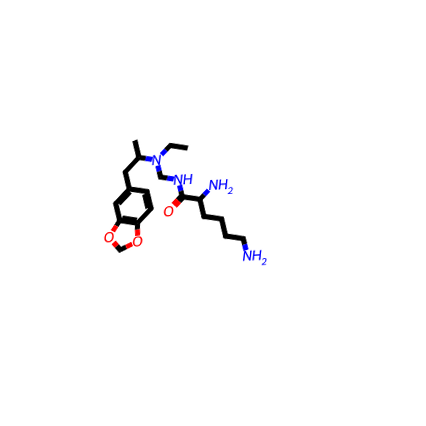 CCN(CNC(=O)C(N)CCCCN)C(C)Cc1ccc2c(c1)OCO2